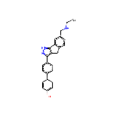 CC(C)(C)CNCc1ccc2c(c1)-c1[nH]nc(-c3ccc(C4C=CC(O)=CC4)cc3)c1C2